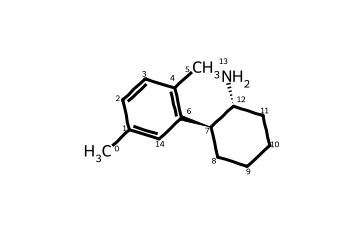 Cc1ccc(C)c([C@@H]2CCCC[C@H]2N)c1